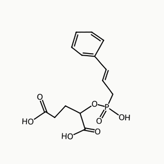 O=C(O)CCC(OP(=O)(O)CC=Cc1ccccc1)C(=O)O